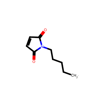 [CH2]CCCCN1C(=O)C=CC1=O